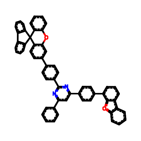 c1ccc(-c2cc(-c3ccc(-c4cccc5c4oc4ccccc45)cc3)nc(-c3ccc(-c4ccc5c(c4)Oc4ccccc4C54c5ccccc5-c5ccccc54)cc3)n2)cc1